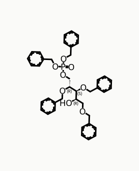 O=P(OCc1ccccc1)(OCc1ccccc1)OC[C@@H](OCc1ccccc1)[C@@H](OCc1ccccc1)[C@H](O)COCc1ccccc1